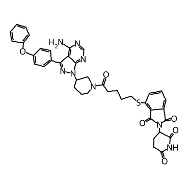 Nc1ncnc2c1c(-c1ccc(Oc3ccccc3)cc1)nn2C1CCCN(C(=O)CCCCSc2cccc3c2C(=O)N(C2CCC(=O)NC2=O)C3=O)C1